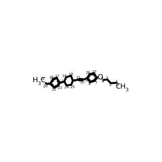 CCCCCOc1ccc(C#CC2CCC(c3ccc(CC)cc3)CC2)cc1